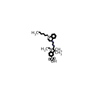 CCCCCCN1C=C/C(=C\C=C\C2=[N+](CC)c3ccc(S(=O)(=O)O)cc3C2(C)C)c2ccccc21